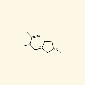 [CH2-][NH+]1CC[C@H](CN(C)C(C)=O)C1